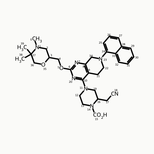 CN1CC(COc2nc3c(c(N4CCN(C(=O)O)C(CC#N)C4)n2)CCN(c2cccc4ccccc24)C3)OCC1(C)C